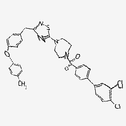 Cc1ccc(Oc2ccc(Cc3nsc(N4CCN(S(=O)(=O)c5ccc(-c6ccc(Cl)c(Cl)c6)cc5)CC4)n3)cc2)cc1